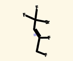 FC/C(F)=C/C(F)(F)Br